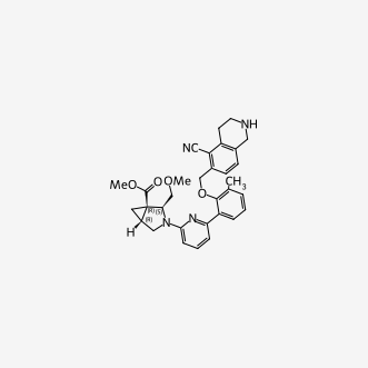 COC[C@H]1N(c2cccc(-c3cccc(C)c3OCc3ccc4c(c3C#N)CCNC4)n2)C[C@@H]2C[C@@]21C(=O)OC